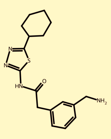 NCc1cccc(CC(=O)Nc2nnc(C3CCCCC3)s2)c1